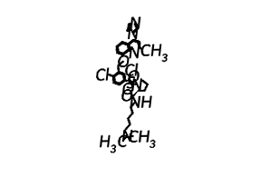 Cc1cc(-n2ccnc2)c2cccc(OCc3c(Cl)ccc(S(=O)(=O)N4CCC[C@H]4C(=O)NCCCCCN(C)C)c3Cl)c2n1